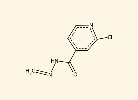 C=NNC(=O)c1ccnc(Cl)c1